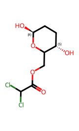 O=C(OCC1O[C@@H](O)CC[C@@H]1O)C(Cl)Cl